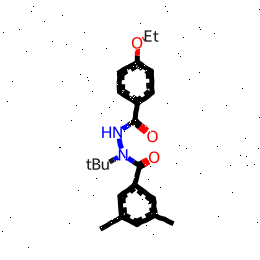 CCOc1ccc(C(=O)NN(C(=O)c2cc(C)cc(C)c2)C(C)(C)C)cc1